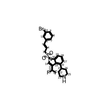 O=S(=O)(CC=Cc1cccc(Br)c1)n1cc(C(F)F)c2c(C3CCNCC3)cccc21